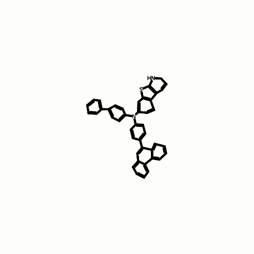 C1=Cc2c(sc3cc(N(c4ccc(-c5ccccc5)cc4)c4ccc(-c5cc6ccccc6c6ccccc56)cc4)ccc23)NC1